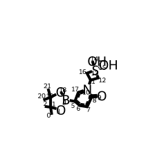 CC1(C)OB(c2ccc(=O)n(C3CS(O)(O)C3)c2)OC1(C)C